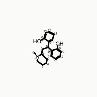 CN1CCCCC1CC(c1ccccc1O)c1ccccc1O